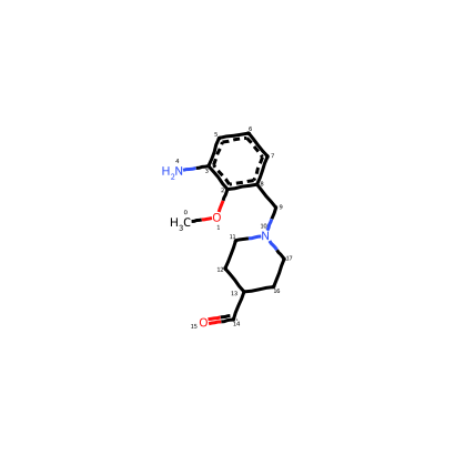 COc1c(N)cccc1CN1CCC([C]=O)CC1